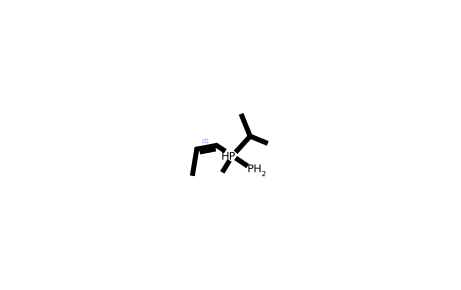 C/C=C\[PH](C)(P)C(C)C